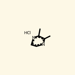 Cc1nccnc1C.Cl